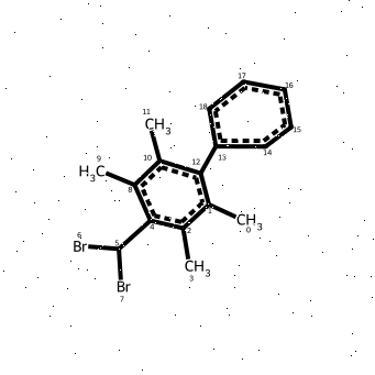 Cc1c(C)c(C(Br)Br)c(C)c(C)c1-c1ccccc1